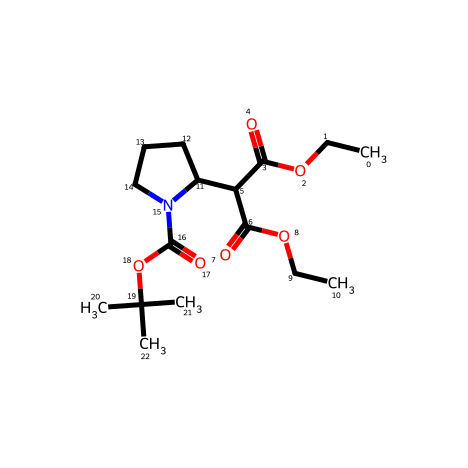 CCOC(=O)C(C(=O)OCC)C1CCCN1C(=O)OC(C)(C)C